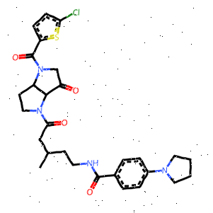 CC(CCNC(=O)c1ccc(N2CCCC2)cc1)CC(=O)N1CCC2C1C(=O)CN2C(=O)c1ccc(Cl)s1